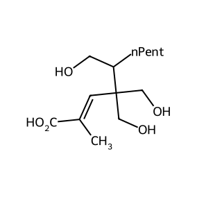 CCCCCC(CO)C(C=C(C)C(=O)O)(CO)CO